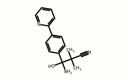 BC(O)(c1ccc(-c2ccccn2)cc1)C(C)(C)C#N